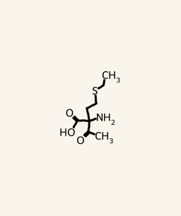 CCSCCC(N)(C(C)=O)C(=O)O